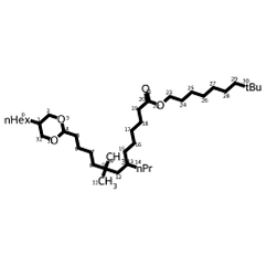 CCCCCCC1COC(CCCCC(C)(C)CC(CCC)CCCCCC(=O)OCCCCCCCC(C)(C)C)OC1